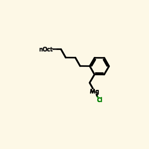 CCCCCCCCCCCCc1ccccc1[CH2][Mg][Cl]